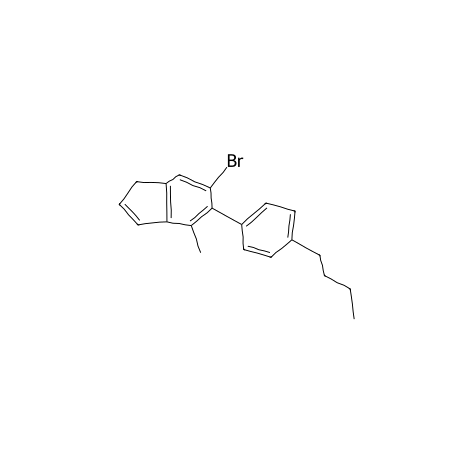 CCCCc1ccc(-c2c(Br)cc3c(c2C)C=CC3)cc1